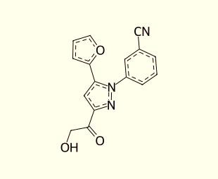 N#Cc1cccc(-n2nc(C(=O)CO)cc2-c2ccco2)c1